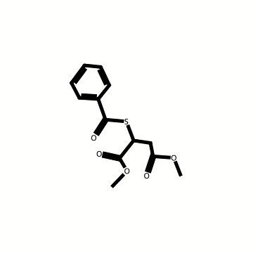 COC(=O)CC(SC(=O)c1ccccc1)C(=O)OC